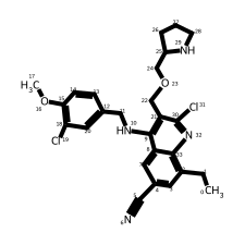 CCc1cc(C#N)cc2c(NCc3ccc(OC)c(Cl)c3)c(COCC3CCCN3)c(Cl)nc12